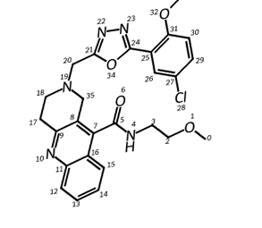 COCCNC(=O)c1c2c(nc3ccccc13)CCN(Cc1nnc(-c3cc(Cl)ccc3OC)o1)C2